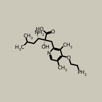 Cc1cnc(C[C@](O)(C(=O)O)[C@@H](N)CC(C)C)c(C)c1OCCP